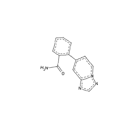 NC(=O)c1ccccc1-c1ccn2ncnc2c1